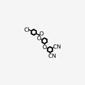 N#Cc1cc(C#N)cc(Oc2cccc(OC(=O)c3ccc(Cl)cc3)c2)c1